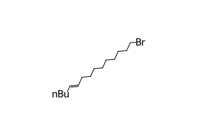 CCCCC=CCCCCCCCCCBr